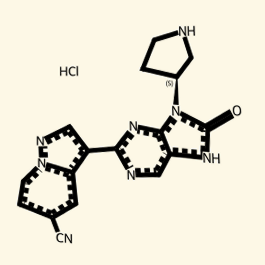 Cl.N#Cc1ccn2ncc(-c3ncc4[nH]c(=O)n([C@H]5CCNC5)c4n3)c2c1